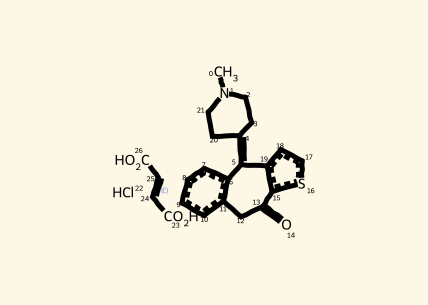 CN1CCC(=C2c3ccccc3CC(=O)c3sccc32)CC1.Cl.O=C(O)/C=C/C(=O)O